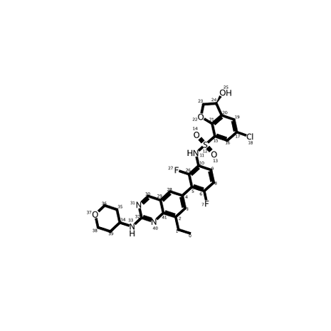 CCc1cc(-c2c(F)ccc(NS(=O)(=O)c3cc(Cl)cc4c3OC[C@H]4O)c2F)cc2cnc(NC3CCOCC3)nc12